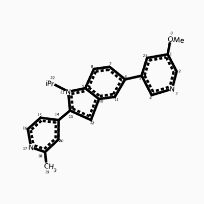 COc1cncc(-c2ccc3c(c2)cc(-c2ccnc(C)c2)n3C(C)C)c1